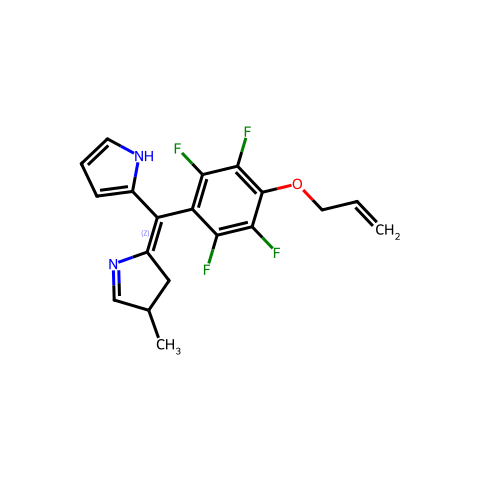 C=CCOc1c(F)c(F)c(/C(=C2\CC(C)C=N2)c2ccc[nH]2)c(F)c1F